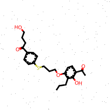 CCCc1c(OCCCSc2ccc(C(=O)CCCO)cc2)ccc(C(C)=O)c1O